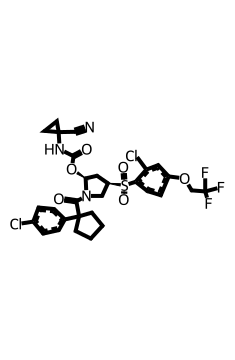 N#CC1(NC(=O)O[C@H]2C[C@@H](S(=O)(=O)c3ccc(OCC(F)(F)F)cc3Cl)CN2C(=O)C2(c3ccc(Cl)cc3)CCCC2)CC1